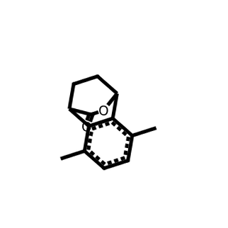 Cc1ccc(C)c2c1C1CCC2C(=O)O1